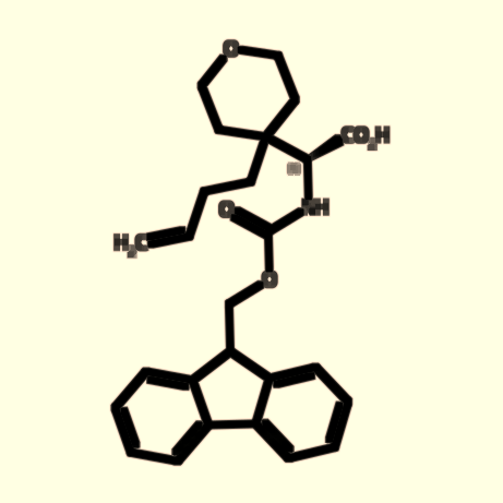 C=CCCC1([C@H](NC(=O)OCC2c3ccccc3-c3ccccc32)C(=O)O)CCOCC1